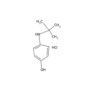 CC(C)(C)Nc1ccc(O)cc1.Cl